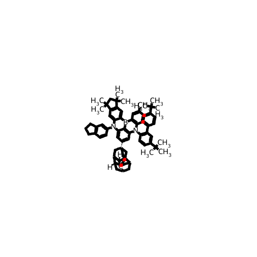 Cc1ccc2c(c1)B1c3cc4c(cc3N(c3ccc5c(c3)CCC5)c3cc([C@]56CC7C8CC9C[C@@H]7C(C5)[C@@H](C9)C8C6)cc(c31)N2c1ccc(C(C)(C)C)cc1-c1ccc(C(C)(C)C)cc1)C(C)(C)CC4(C)C